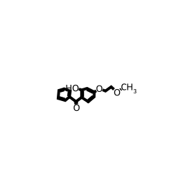 COCCOc1ccc(C(=O)c2ccccc2)c(O)c1